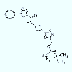 CC(OCc1nnc([C@H]2C[C@H](NC(=O)c3cc(-c4ccccc4)on3)C2)o1)SC(C)(C)C